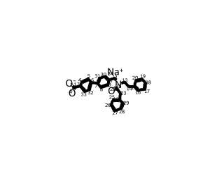 O=C([O-])c1ccc(-c2ccc(CN(CCc3ccccc3)C(=O)Cc3ccccc3)cc2)cc1.[Na+]